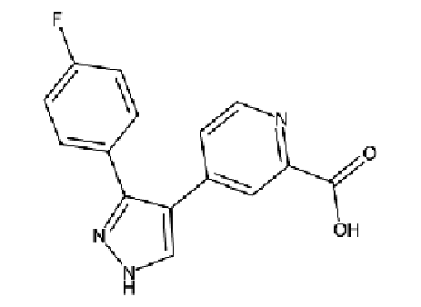 O=C(O)c1cc(-c2c[nH]nc2-c2ccc(F)cc2)ccn1